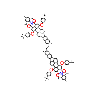 Cc1cc(C(C)C)c(N2C(=O)c3cc(Oc4ccc(C(C)(C)C)cc4)c4c5c(c(Oc6ccc(C(C)(C)C)cc6)cc(c35)C2=O)C2=CC=C3c5cc6cc(CCc7cc8cc9c(cc8cc7C)-c7ccc8c%10c(Oc%11ccc(C(C)(C)C)cc%11)cc%11c%12c(cc(Oc%13ccc(C(C)(C)C)cc%13)c(c%13ccc-9c7c8%13)c%12%10)C(=O)N(c7c(C(C)C)cc(C)cc7C(C)C)C%11=O)c(C)cc6cc5C5=CC=C4C2C53)c(C(C)C)c1